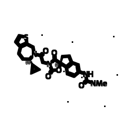 CNC(=O)Nc1ccc2c(c1)CC[C@]21OC(=O)N(CC(=O)N2Cc3sccc3CC[C@H]2C2CC2)C1=O